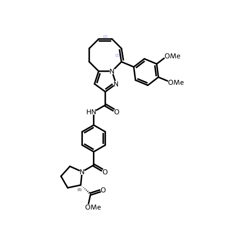 COC(=O)[C@@H]1CCCN1C(=O)c1ccc(NC(=O)c2cc3n(n2)/C(c2ccc(OC)c(OC)c2)=C\C=C/CC3)cc1